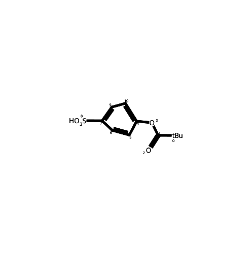 CC(C)(C)C(=O)Oc1ccc(S(=O)(=O)O)cc1